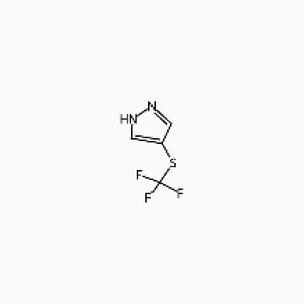 FC(F)(F)Sc1cn[nH]c1